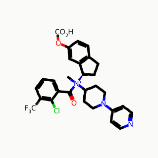 C[N+](C(=O)c1cccc(C(F)(F)F)c1Cl)(C1CCN(c2ccncc2)CC1)[C@@H]1CCc2ccc(OC(=O)O)cc21